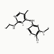 CCNc1ncc(C)c(Nc2ccc(Cl)c(OC)c2)n1